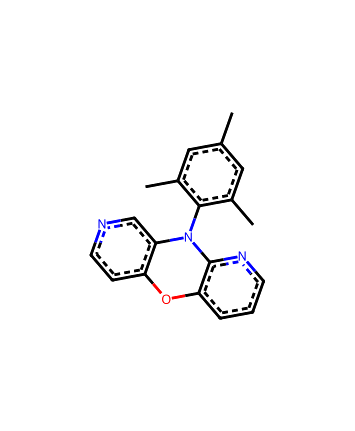 Cc1cc(C)c(N2c3cnccc3Oc3cccnc32)c(C)c1